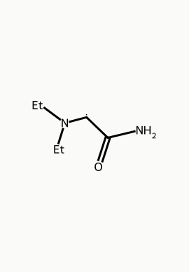 CCN([CH]C(N)=O)CC